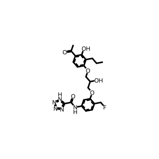 CCCc1c(OCC(O)COc2cc(NC(=O)c3nnn[nH]3)ccc2CF)ccc(C(C)=O)c1O